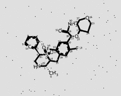 C[C@@H]1NC[C@@H](c2ccccc2)S(=O)(=O)C1Cc1cc(F)c([C@@H](OC2CCOCC2)C(N)=O)cc1F